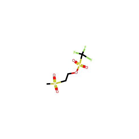 CS(=O)(=O)CCOS(=O)(=O)C(F)(F)F